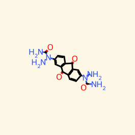 NC(=O)N(N)c1ccc2c(c1)C(=O)c1ccc(N(N)C(N)=O)cc1C2=O